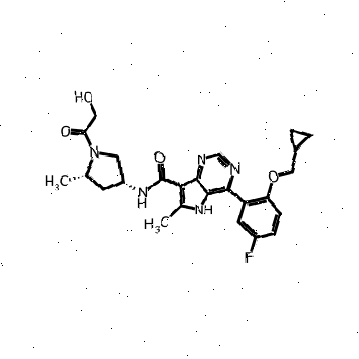 Cc1[nH]c2c(-c3cc(F)ccc3OCC3CC3)ncnc2c1C(=O)N[C@@H]1C[C@H](C)N(C(=O)CO)C1